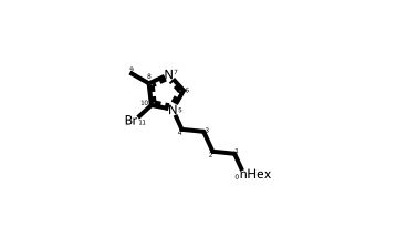 CCCCCCCCCCn1cnc(C)c1Br